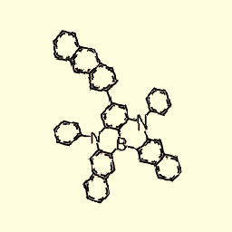 c1ccc(N2c3cc4ccccc4cc3B3c4cc5ccccc5cc4N(c4ccccc4)c4cc(-c5ccc6cc7ccccc7cc6c5)cc2c43)cc1